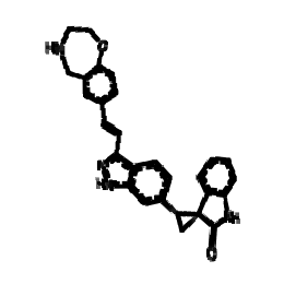 O=C1Nc2ccccc2[C@]12C[C@H]2c1ccc2c(/C=C/c3ccc4c(c3)CNCCO4)n[nH]c2c1